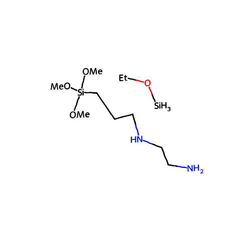 CCO[SiH3].CO[Si](CCCNCCN)(OC)OC